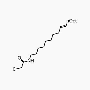 CCCCCCCCC=CCCCCCCCCNC(=O)CCl